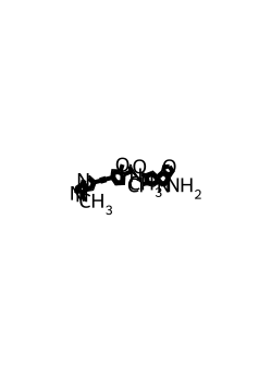 CN(C(=O)c1cc2c3c(c(N)nc2cc1Cl)COC3)[C@@H]1COc2cc(C#Cc3cnc4cnn(C)c4c3)ccc21